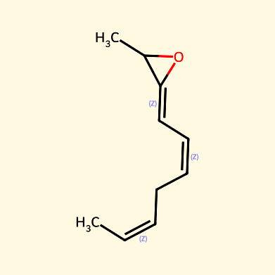 C/C=C\C/C=C\C=C1/OC1C